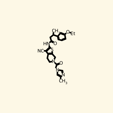 CCOc1cccc(C(C)CC(=O)Nc2sc3c(c2C#N)CCN(C(=O)Cn2cnc(C)c2)C3)c1